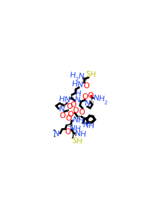 CN[C@@H](CS)C(=O)N[C@@H](CCCCN(C)C)C(=O)N[C@@H](Cc1c[nH]c2ccccc12)C(=O)OCC(=O)N1CCC[C@H]1C(=O)N[C@@H](CCCCNC(=O)[C@@H](N)CS)C(=O)NC(CC=O)C(=O)N1CCC[C@H]1C(N)=O